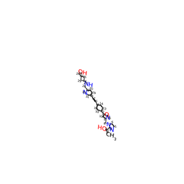 C[C@H](O)c1nccn1Cc1cc(-c2ccc(C#Cc3ccc(CNC4CC(CO)C4)nc3)cc2)on1